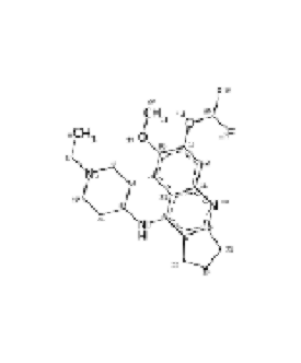 CCN1CCC(Nc2c3c(nc4cc(OC(F)F)c(OC)cc24)CCC3)CC1